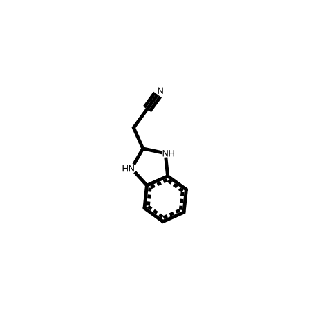 N#CCC1Nc2ccccc2N1